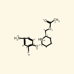 CC(=O)OC[C@H]1CCC[C@H](Oc2ccc(N)cc2F)N1